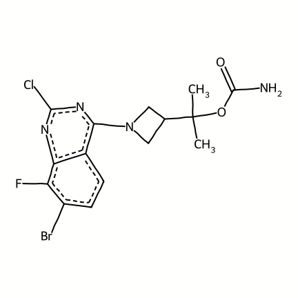 CC(C)(OC(N)=O)C1CN(c2nc(Cl)nc3c(F)c(Br)ccc23)C1